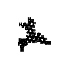 CC(Oc1ccc(CC2c3ccc(O)cc3CCN2C(=O)c2ccc(O)cc2)cc1)C1CCCCN1.O=C(O)C(F)(F)F